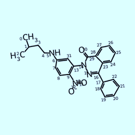 CC(C)CCNc1ccc([N+](=O)[O-])c(-n2nc(-c3ccccc3)c3ccccc3c2=O)c1